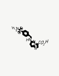 NS(=O)(=O)c1ccc(CNc2ccc3ncc(C(=O)O)n3n2)cc1